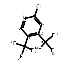 FC(F)(F)c1cnc(Cl)cc1C(F)(F)F